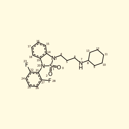 O=S1(=O)N(CCCNC2CCCCC2)c2ccccc2N1c1c(F)cccc1F